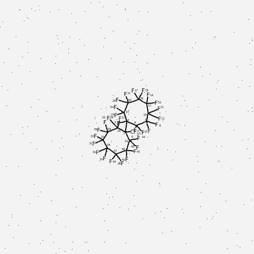 FC(F)(F)C1(C2(F)C(F)(F)C(F)(F)C(F)(F)C(F)(F)C(F)(F)C(F)(F)C2(F)F)C(F)(F)C(F)(F)C(F)(F)C(F)(F)C(F)(F)C(F)(F)C1(F)F